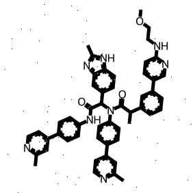 COCCNc1ccc(-c2cccc(C(C)C(=O)N(c3ccc(-c4ccnc(C)c4)cc3)C(C(=O)Nc3ccc(-c4ccnc(C)c4)cc3)c3ccc4[nH]c(C)nc4c3)c2)cn1